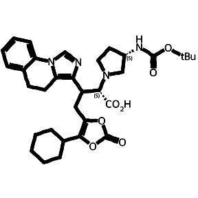 CC(C)(C)OC(=O)N[C@H]1CCN([C@H](C(=O)O)C(Cc2oc(=O)oc2C2CCCCC2)c2ncn3c2CCc2ccccc2-3)C1